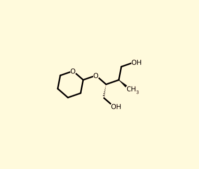 C[C@H](CO)[C@H](CO)OC1CCCCO1